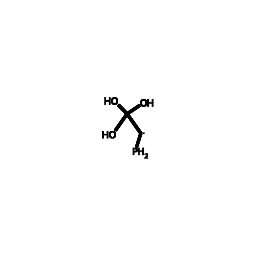 OC(O)(O)[CH]P